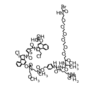 COCCN(CCN(C)C(=O)OCc1ccc(NC(=O)[C@H](CCCNC(N)=O)NC(=O)[C@@H](NC(=O)CCOCCOCCOCCOCCOCCOCCNC(=O)CBr)C(C)C)cc1)C(=O)Oc1cc2c(c3ccccc13)[C@H](CCl)CN2C(=O)c1ccc(C(=O)N2CC(CCl)c3c2cc(OP(O)O)c2ccccc32)s1